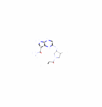 C=CC(=O)N1CC(C)C(Nc2cnc3[nH]cc(C(=O)NCC)c3n2)C1